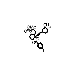 COC(=O)N1CCC2C1CCCC2(C#Cc1cccc(C)c1)OC(=O)c1ccc(F)cc1